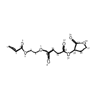 C=CC(=O)OCCOC(=O)CCC(=O)OC1CCOC1=O